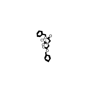 O=C(CN(CC(=O)OCc1ccccc1)C(=O)C(F)(F)F)OCc1ccccc1